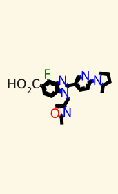 Cc1nc(Cn2c(-c3ccc(N4CCCC4C)nc3)nc3c(F)c(C(=O)O)ccc32)co1